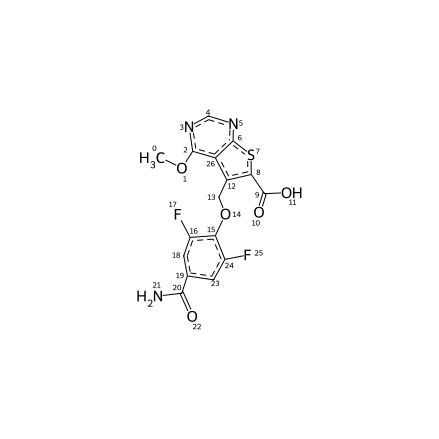 COc1ncnc2sc(C(=O)O)c(COc3c(F)cc(C(N)=O)cc3F)c12